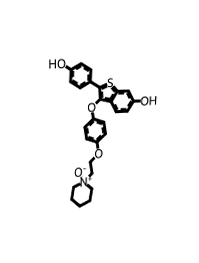 [O-][N+]1(CCOc2ccc(Oc3c(-c4ccc(O)cc4)sc4cc(O)ccc34)cc2)CCCCC1